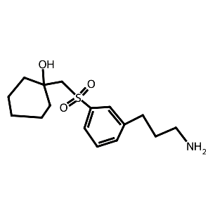 NCCCc1cccc(S(=O)(=O)CC2(O)CCCCC2)c1